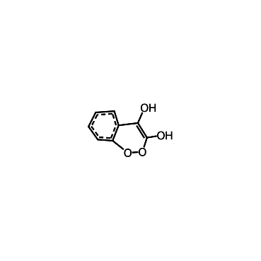 OC1=C(O)c2ccccc2OO1